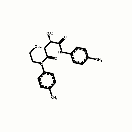 CC(=O)O[C@@H](C(=O)Nc1ccc(N)cc1)[C@H]1OCCN(c2ccc(C)cc2)C1=O